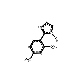 COc1ccc(-c2ncc[s+]2[O-])c(OC)c1